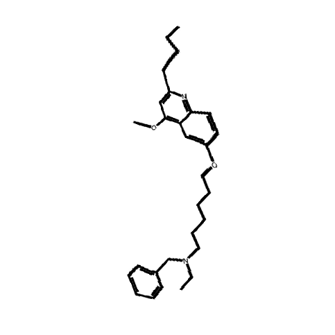 CCCCc1cc(OC)c2cc(OCCCCCCN(CC)Cc3ccccc3)ccc2n1